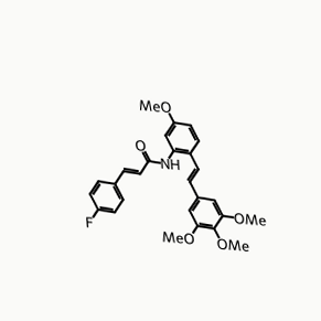 COc1ccc(/C=C/c2cc(OC)c(OC)c(OC)c2)c(NC(=O)/C=C/c2ccc(F)cc2)c1